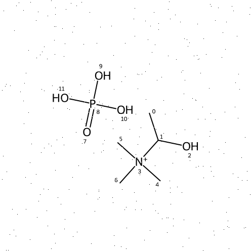 CC(O)[N+](C)(C)C.O=P(O)(O)O